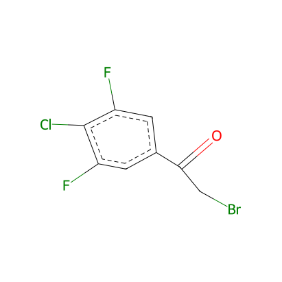 O=C(CBr)c1cc(F)c(Cl)c(F)c1